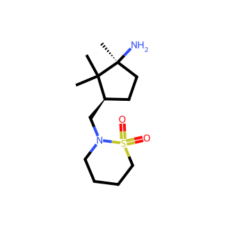 CC1(C)[C@H](CN2CCCCS2(=O)=O)CC[C@]1(C)N